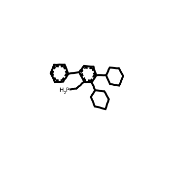 PCc1c(-c2ccccc2)ccc(C2CCCCC2)c1C1CCCCC1